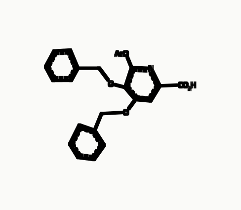 CC(=O)Oc1nc(C(=O)O)cc(OCc2ccccc2)c1OCc1ccccc1